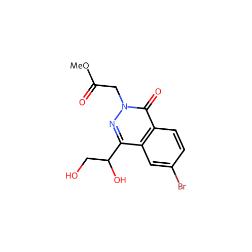 COC(=O)Cn1nc(C(O)CO)c2cc(Br)ccc2c1=O